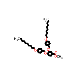 CCCCCCCCCCOc1ccc(COc2ccc(C(=O)OC)cc2OCc2ccc(OCCCCCCCCCC)cc2)cc1